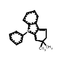 CC1(C)C=c2c(c3ccccc3n2-c2ccccc2)=CC1